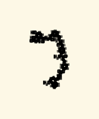 C=C(/C=C\C=C/CNC(=O)OC1CCN(CCC(=O)N(C)c2ccc(CC(=O)NCCc3cccc(C[C@H](C)NC[C@H](O)c4ccc(O)c5[nH]c(=O)ccc45)c3)cc2)CC1)c1ccccc1